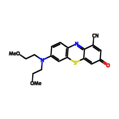 COCCN(CCOC)c1ccc2nc3c(C#N)cc(=O)cc-3sc2c1